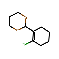 ClC1=C(C2SCCCS2)CCCC1